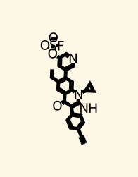 C#Cc1ccc2c(c1)[nH]c1c2c(=O)c2cc(CC)c(-c3cncc(OS(=O)(=O)F)c3)cc2n1C1CC1